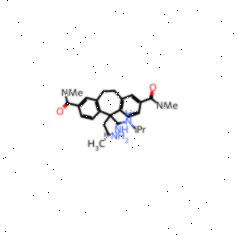 CNC(=O)c1ccc2c(c1)CCc1cc(C(=O)NC)ccc1C2(C[C@@H](C)N)C(=N)NC(C)C